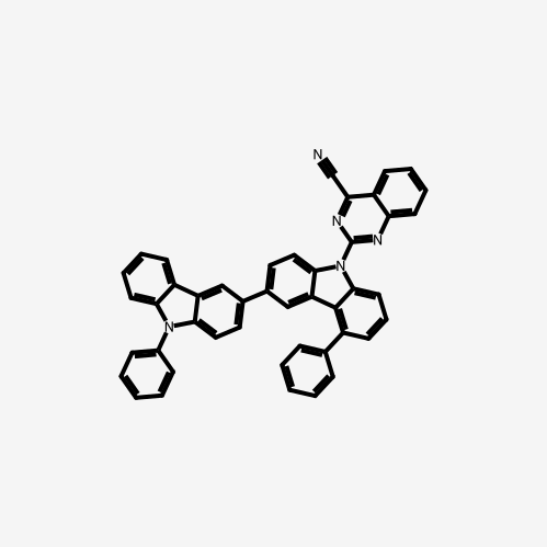 N#Cc1nc(-n2c3ccc(-c4ccc5c(c4)c4ccccc4n5-c4ccccc4)cc3c3c(-c4ccccc4)cccc32)nc2ccccc12